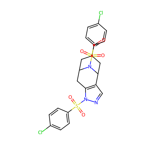 O=CC1CC2Cc3c(cnn3S(=O)(=O)c3ccc(Cl)cc3)C(C1)N2S(=O)(=O)c1ccc(Cl)cc1